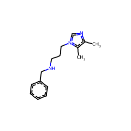 Cc1ncn(CCCNCc2ccccc2)c1C